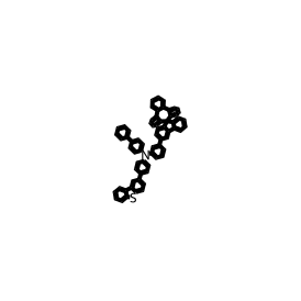 c1ccc(-c2ccc(N(c3ccc(-c4ccc5sc6ccccc6c5c4)cc3)c3cccc(-c4ccc5c(c4)-c4ccccc4C54c5ccccc5-c5ccccc5-c5ccccc54)c3)cc2)cc1